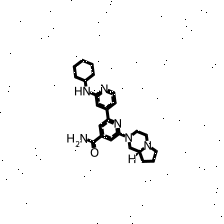 NC(=O)c1cc(-c2ccnc(NC3CCCCC3)c2)nc(N2CCN3CCC[C@@H]3C2)c1